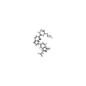 CCC1CN(c2ccc3ncc(-c4ccc5[nH]nc(C6CC6)c5c4)n3n2)CCO1